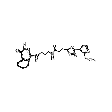 CCc1sccc1-c1noc(CCC(=O)NCCCNc2n[nH]c(=O)c3ccccc23)n1